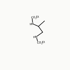 CCOC(=O)NCC(C)NC(=O)OCC